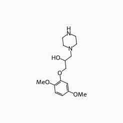 COc1ccc(OC)c(OCC(O)CN2CCNCC2)c1